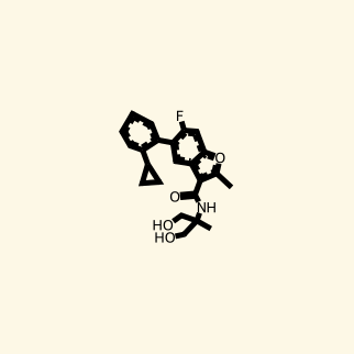 Cc1oc2cc(F)c(-c3ccccc3C3CC3)cc2c1C(=O)NC(C)(CO)CO